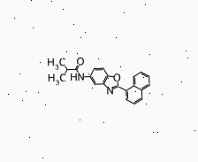 CC(C)C(=O)Nc1ccc2oc(-c3cccc4ccccc34)nc2c1